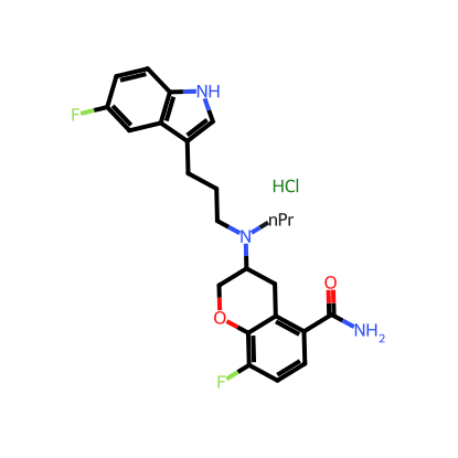 CCCN(CCCc1c[nH]c2ccc(F)cc12)C1COc2c(F)ccc(C(N)=O)c2C1.Cl